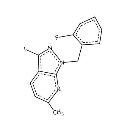 Cc1ccc2c(I)nn(Cc3ccccc3F)c2n1